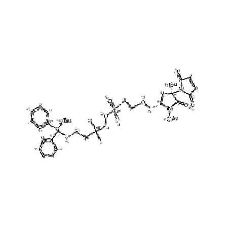 CC(=O)ON1C(=O)[C@@](N2C(=O)C=CC2=O)(C(C)(C)C)C[C@H]1COCCS(=O)(=O)OCC(C)(C)CCO[Si](c1ccccc1)(c1ccccc1)C(C)(C)C